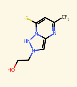 OCCN1C=C2N=C(C(F)(F)F)C=C([S])N2N1